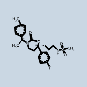 Cc1ccc([C@H](C)N2CC[C@](CCCNS(C)(=O)=O)(c3ccc(F)cc3)OC2=O)cc1